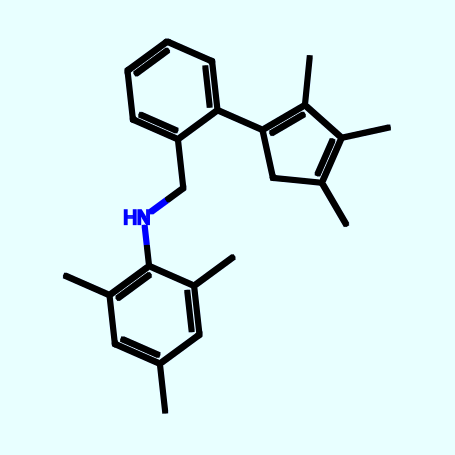 CC1=C(C)C(C)=C(c2ccccc2CNc2c(C)cc(C)cc2C)C1